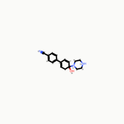 N#Cc1ccc(C2=CCC(O)(N3CCNCC3)C=C2)cc1